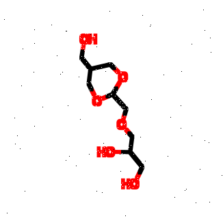 OCC(O)COCC1OCC(CO)CO1